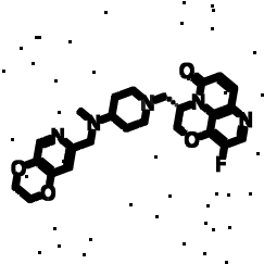 CN(Cc1cc2c(cn1)OCCO2)C1CCN(C[C@H]2COc3c(F)cnc4ccc(=O)n2c34)CC1